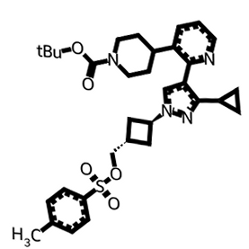 Cc1ccc(S(=O)(=O)OC[C@H]2C[C@H](n3cc(-c4ncccc4C4CCN(C(=O)OC(C)(C)C)CC4)c(C4CC4)n3)C2)cc1